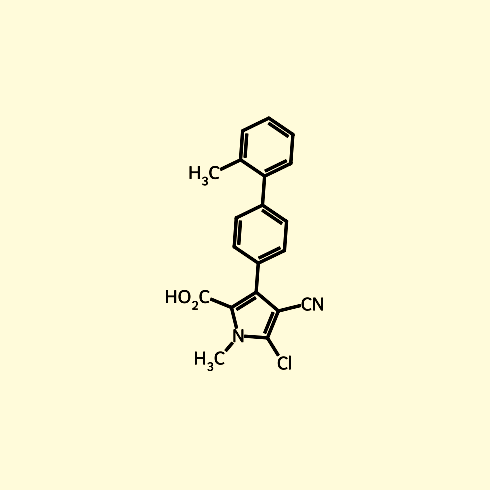 Cc1ccccc1-c1ccc(-c2c(C#N)c(Cl)n(C)c2C(=O)O)cc1